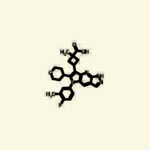 Cc1cc(-n2c(C3CCOCC3)c(C3CC(C)(C(=O)O)C3)c3nc4[nH]ncc4cc32)ccc1F